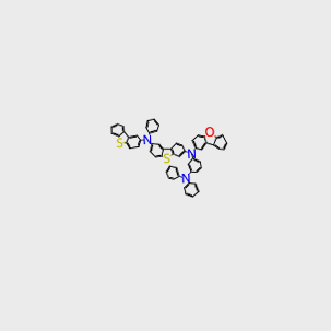 c1ccc(N(c2ccccc2)c2cccc(N(c3ccc4c(c3)sc3ccc(N(c5ccccc5)c5ccc6sc7ccccc7c6c5)cc34)c3ccc4oc5ccccc5c4c3)c2)cc1